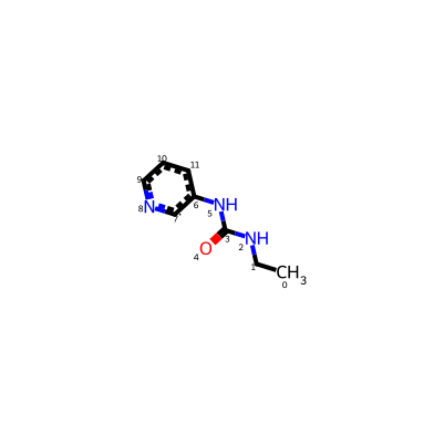 CCNC(=O)Nc1[c]nccc1